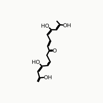 C=C(O)/C=C(O)\C=C/CC(=O)/C=C/C=C(O)\C=C(/C)O